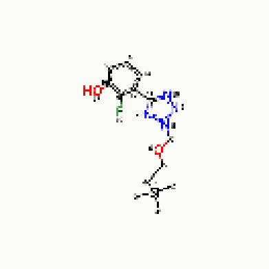 C[Si](C)(C)CCOCn1nnc(-c2cccc(O)c2F)n1